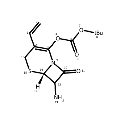 C=CC1=C(OC(=O)OC(C)(C)C)N2C(=O)C(N)[C@@H]2SC1